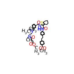 CCOC(=O)CCC(=O)N(CC)CCN(Cc1cccc(C(=O)Nc2sc3c(c2C(=O)Nc2ccc(CCc4ccc(C(=O)OC)cc4)cc2)CCCC3)c1)C(C)C